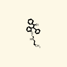 C=CCNCCOc1ccccc1C(=C(CC)c1ccccc1)c1ccccc1